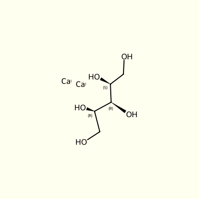 OC[C@@H](O)[C@H](O)[C@@H](O)CO.[Ca].[Ca]